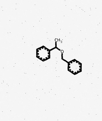 [CH2]C(OCc1ccccc1)c1ccccc1